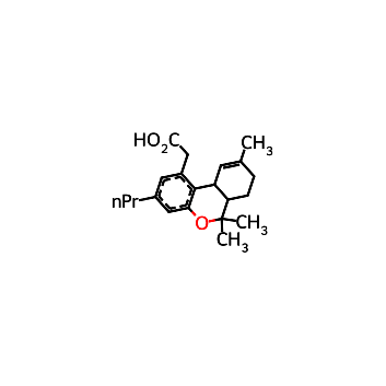 CCCc1cc(CC(=O)O)c2c(c1)OC(C)(C)C1CCC(C)=CC21